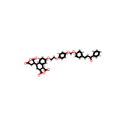 O=C1CC(C2CC3C(=O)OC(=O)C3c3cc(OCCOc4ccc(OCOc5ccc(/C=C/C(=O)c6ccccc6)cc5)cc4)ccc32)C(=O)O1